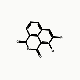 O=C1NC(=O)c2c(Br)c(Br)cc3cccc1c23